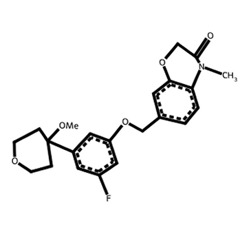 COC1(c2cc(F)cc(OCc3ccc4c(c3)OCC(=O)N4C)c2)CCOCC1